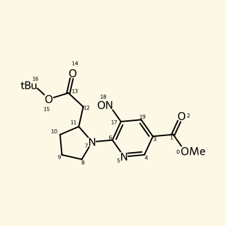 COC(=O)c1cnc(N2CCCC2CC(=O)OC(C)(C)C)c(N=O)c1